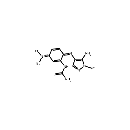 CC[N+](CC)=C1C=C/C(=N/c2cnn(C(C)C)c2N)C(NC(N)=O)=C1